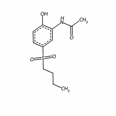 CCCCS(=O)(=O)c1ccc(O)c(NC(C)=O)c1